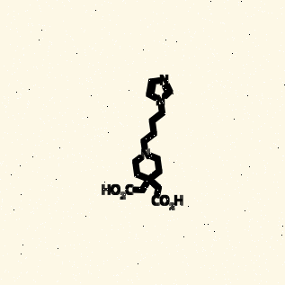 O=C(O)CC1(CC(=O)O)CCN(CCCCn2ccnc2)CC1